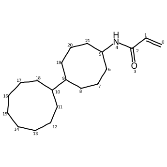 C=CC(=O)NC1CCCC(C2CCCCCCCC2)CCC1